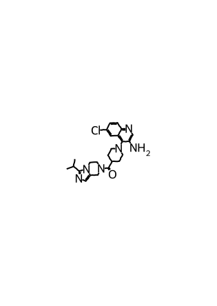 CC(C)c1ncc2n1CCN(C(=O)C1CCN(c3c(N)cnc4ccc(Cl)cc34)CC1)C2